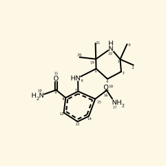 CC1(C)CCC(Nc2c(C(N)=O)cccc2C(N)=O)C(C)(C)N1